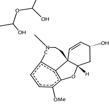 CC(O)OC(C)O.COc1ccc2c3c1O[C@H]1C[C@@H](O)C=C[C@@]31CCN(C)C2